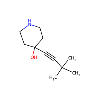 CC(C)(C)C#CC1(O)CCNCC1